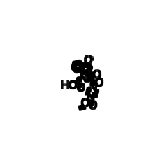 CCOC(=O)N1CCN(C(=O)CC(=O)c2cc(OC)c3ccccc3c2NCC(=O)O)CC1